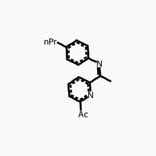 CCCc1ccc(/N=C(/C)c2cccc(C(C)=O)n2)cc1